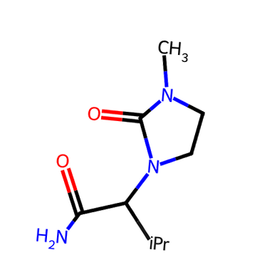 CC(C)C(C(N)=O)N1CCN(C)C1=O